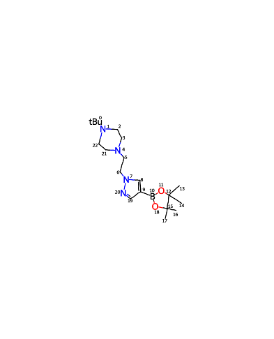 CC(C)(C)N1CCN(CCn2cc(B3OC(C)(C)C(C)(C)O3)cn2)CC1